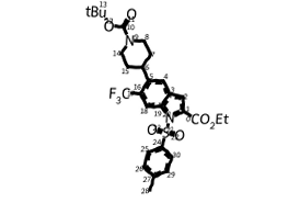 CCOC(=O)c1cc2cc(C3CCN(C(=O)OC(C)(C)C)CC3)c(C(F)(F)F)cc2n1S(=O)(=O)c1ccc(C)cc1